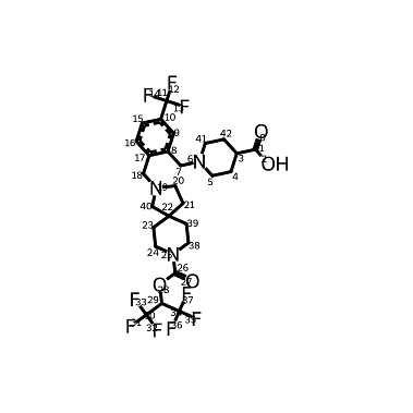 O=C(O)C1CCN(Cc2cc(C(F)(F)F)ccc2CN2CCC3(CCN(C(=O)OC(C(F)(F)F)C(F)(F)F)CC3)C2)CC1